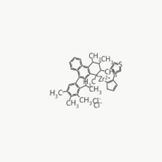 Cc1cc2c(c(C)c1C)C(C)c1c3c(c4ccccc4c1-2)C(C)C(C)C(C)[C]3(C)[Zr+2][C]1=C(c2ccsc2)C=CC1.[Cl-].[Cl-]